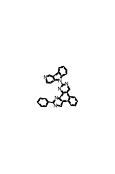 c1ccc(-c2ncc3c4ccccc4c4cnc(-n5c6ccccc6c6cnccc65)nc4c3n2)cc1